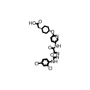 O=C(O)C[C@H]1CC[C@@H](Oc2ccc(NC(=O)c3nnc(Nc4ccc(Cl)cc4Cl)o3)cn2)CC1